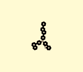 c1ccc(-c2ccc3cc(-c4ccc(N(c5ccc(-c6cccc7ccccc67)cc5)c5ccc6c(c5)sc5ccccc56)cc4)ccc3c2)cc1